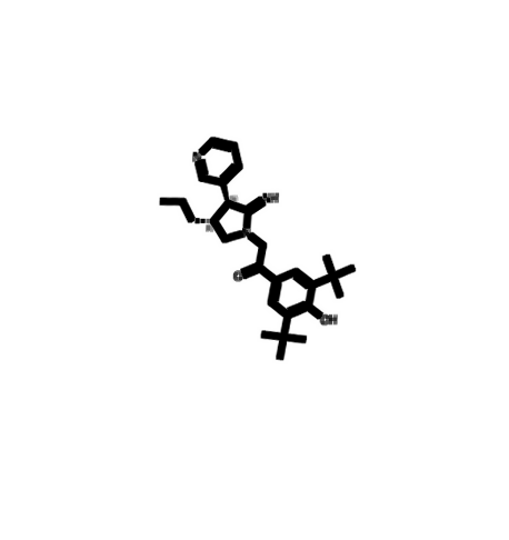 CCC[C@H]1CN(CC(=O)c2cc(C(C)(C)C)c(O)c(C(C)(C)C)c2)C(=N)[C@@H]1c1cccnc1